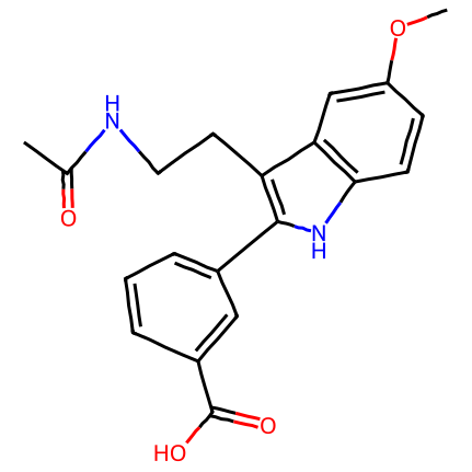 COc1ccc2[nH]c(-c3cccc(C(=O)O)c3)c(CCNC(C)=O)c2c1